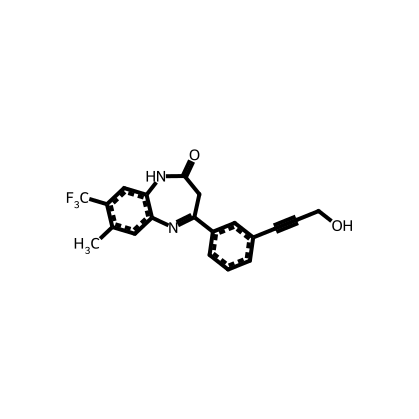 Cc1cc2c(cc1C(F)(F)F)NC(=O)CC(c1cccc(C#CCO)c1)=N2